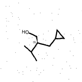 CC(C)[C@@H](CO)CC1CC1